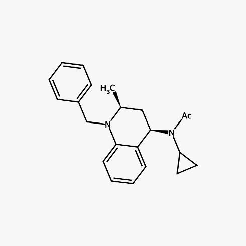 CC(=O)N(C1CC1)[C@@H]1C[C@H](C)N(Cc2ccccc2)c2ccccc21